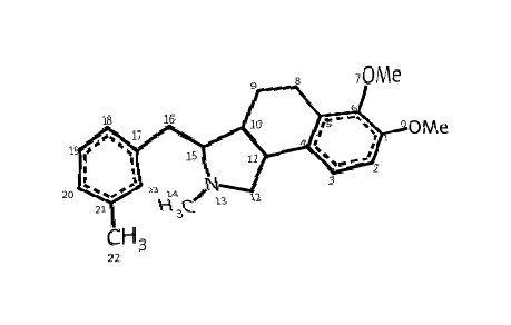 COc1ccc2c(c1OC)CCC1C2CN(C)C1Cc1cccc(C)c1